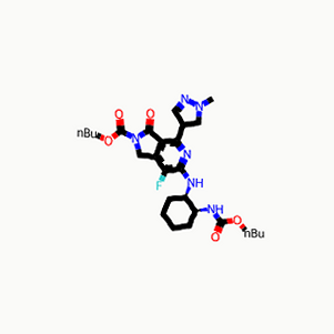 CCCCOC(=O)N[C@H]1CCCC[C@H]1Nc1nc(C2C=NN(C)C2)c2c(c1F)CN(C(=O)OCCCC)C2=O